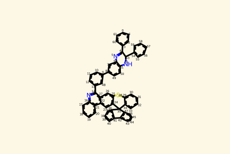 c1ccc(C2=Nc3cc(-c4cccc(-c5nc6ccccc6c6cc7c(cc56)Sc5ccccc5C75c6ccccc6-c6ccccc65)c4)ccc3NC2c2ccccc2)cc1